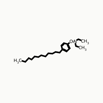 CCCCCCCCCCCCc1ccc([O][Al]([CH2]C)[CH2]C)cc1